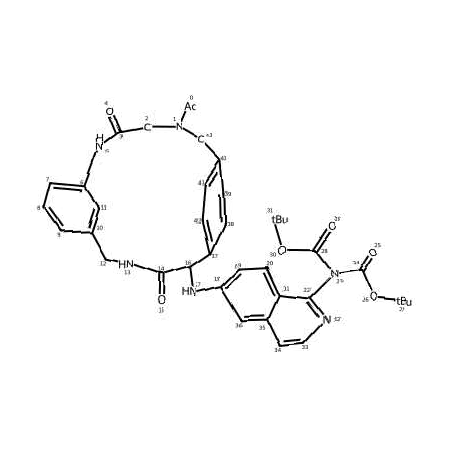 CC(=O)N1CC(=O)Nc2cccc(c2)CNC(=O)C(Nc2ccc3c(N(C(=O)OC(C)(C)C)C(=O)OC(C)(C)C)nccc3c2)c2ccc(cc2)C1